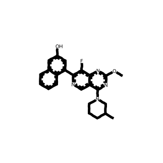 COc1nc(N2CCCC(C)C2)c2cnc(-c3cc(O)cc4ccccc34)c(F)c2n1